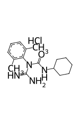 Cc1cccc(C)c1N(C(=N)N)C(=O)NC1CCCCC1.Cl